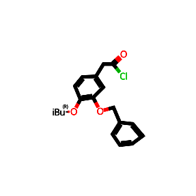 CC[C@@H](C)Oc1ccc(CC(=O)Cl)cc1OCc1ccccc1